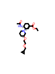 CCOC(=O)C1=C[C@@H](N2CCC[C@H](OCCOCC3CC3)C2)[C@H](NC(C)=O)CC1